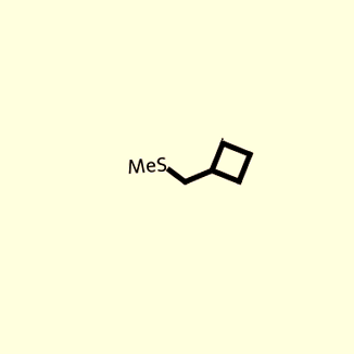 CSCC1[CH]CC1